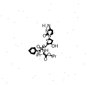 CC(C)OC(=O)[C@@H](NP(=O)(OC[C@H]1S[C@@H](n2ccc(N)nc2=O)CC1O)Oc1ccccc1)C(C)C